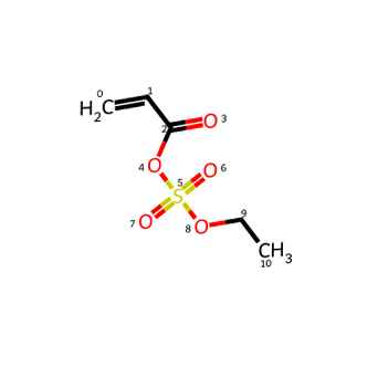 C=CC(=O)OS(=O)(=O)OCC